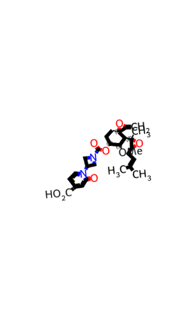 C=C1O[C@@]12CC[C@@H](OC(=O)N1CC(n3ccc(C(=O)O)cc3=O)C1)[C@@H](OC)[C@@H]2[C@@]1(C)OC1CC=C(C)C